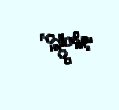 CC[C@H](C)[C@H](N)C(=O)N1CCn2c(nc(-c3ccc(F)cc3)c2Nc2ccc(Cl)cc2)C1